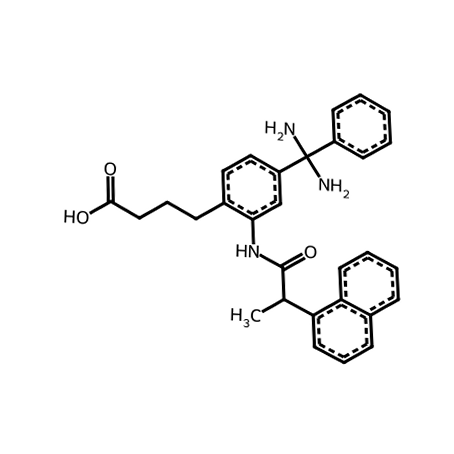 CC(C(=O)Nc1cc(C(N)(N)c2ccccc2)ccc1CCCC(=O)O)c1cccc2ccccc12